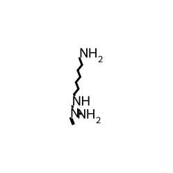 C=CN(N)CNCCCCCCCN